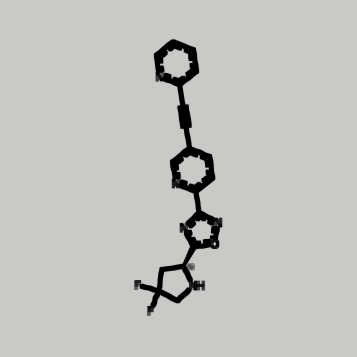 FC1(F)CN[C@H](c2nc(-c3ccc(C#Cc4ccccn4)cn3)no2)C1